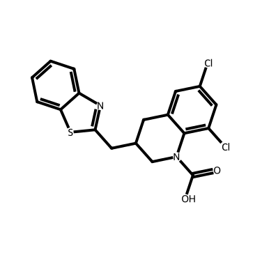 O=C(O)N1CC(Cc2nc3ccccc3s2)Cc2cc(Cl)cc(Cl)c21